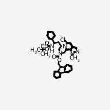 Cn1ncc2cc(Cl)nc(CN(CCCC(NC(=O)OC(C)(C)C)c3ccccc3)C(=O)OCC3c4ccccc4-c4ccccc43)c21